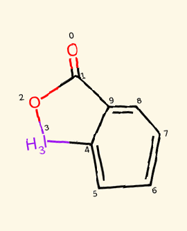 O=C1O[IH3]c2ccccc21